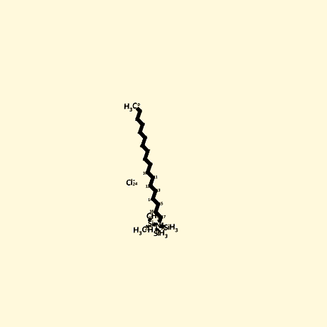 CCCCCCCCCCCCCCCCCC[N+]([SiH3])([SiH3])[SiH](C)C.[Cl-]